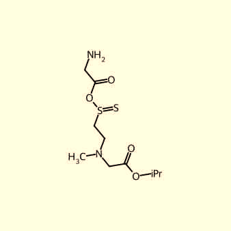 CC(C)OC(=O)CN(C)CCS(=S)OC(=O)CN